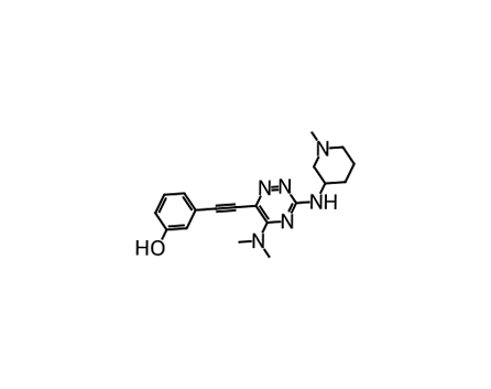 CN1CCCC(Nc2nnc(C#Cc3cccc(O)c3)c(N(C)C)n2)C1